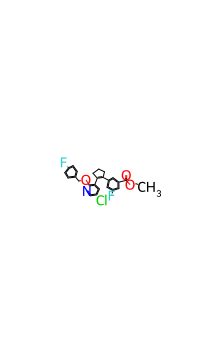 CCOC(=O)c1cc(F)cc(C2=C(c3cc(Cl)cnc3OCc3ccc(F)cc3)CCC2)c1